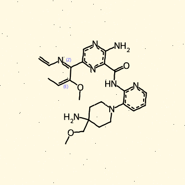 C=C/N=C(\C(=C/C)OC)c1cnc(N)c(C(=O)Nc2ncccc2N2CCC(N)(COC)CC2)n1